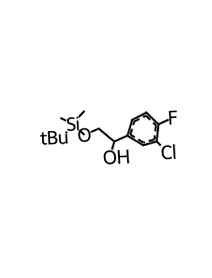 CC(C)(C)[Si](C)(C)OCC(O)c1ccc(F)c(Cl)c1